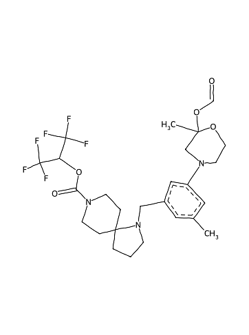 Cc1cc(CN2CCCC23CCN(C(=O)OC(C(F)(F)F)C(F)(F)F)CC3)cc(N2CCOC(C)(OC=O)C2)c1